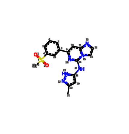 CCS(=O)(=O)c1cccc(-c2cc3nccn3c(Nc3cc(C)n[nH]3)n2)c1